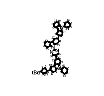 CC(C)(C)c1ccc(-c2ccc3c(c2)c2cc(-c4cnc(-n5c6c(c7ccccc75)=CC(c5ccc7c(c5)c5ccccc5n7-c5ccccc5)CC=6)nc4)ccc2n3-c2ccccc2)cc1